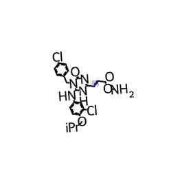 CC(C)Oc1ccc(NC2NC(/C=C/C(=O)ON)=NC(=O)N2Cc2ccc(Cl)cc2)cc1Cl